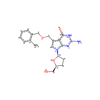 Nc1nc2c(c(COCc3ccccc3[N+](=O)[O-])cn2[C@H]2CC[C@@H](CO)O2)c(=O)[nH]1